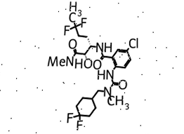 CNC(=O)[C@@H](O)[C@H](CCC(C)(F)F)NC(=O)c1cc(Cl)ccc1NC(=O)N(C)CC1CCC(F)(F)CC1